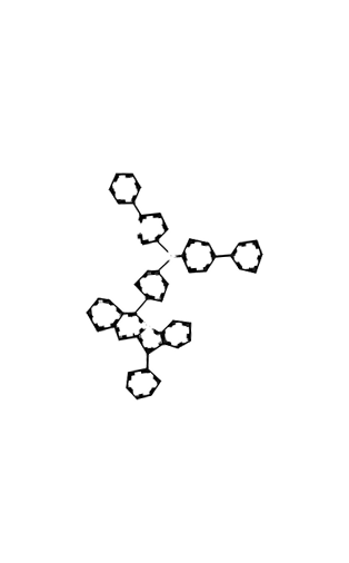 c1ccc(-c2ccc(N(c3ccc(-c4ccccc4)cc3)c3ccc(-c4c5ccccc5cc5c(-c6ccccc6)c6ccccc6n45)cc3)cc2)cc1